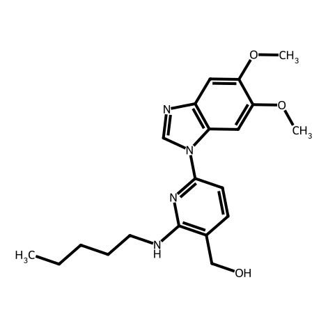 CCCCCNc1nc(-n2cnc3cc(OC)c(OC)cc32)ccc1CO